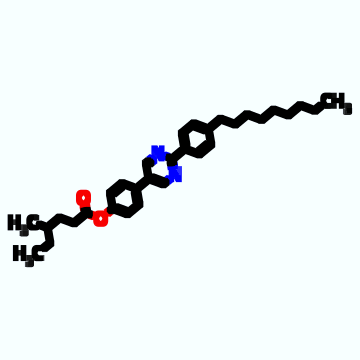 CCCCCCCCCc1ccc(-c2ncc(-c3ccc(OC(=O)CCC(C)CC)cc3)cn2)cc1